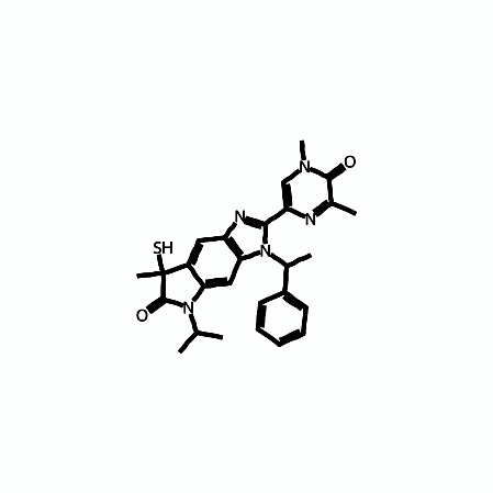 Cc1nc(-c2nc3cc4c(cc3n2C(C)c2ccccc2)N(C(C)C)C(=O)C4(C)S)cn(C)c1=O